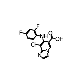 O=C(O)c1cn2ccnc2c(Cl)c1Nc1ccc(F)cc1F